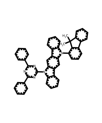 CC1(C)c2ccccc2-c2cccc(-n3c4ccccc4c4cc5c(cc43)c3ccccc3n5-c3nc(-c4ccccc4)nc(-c4ccccc4)n3)c21